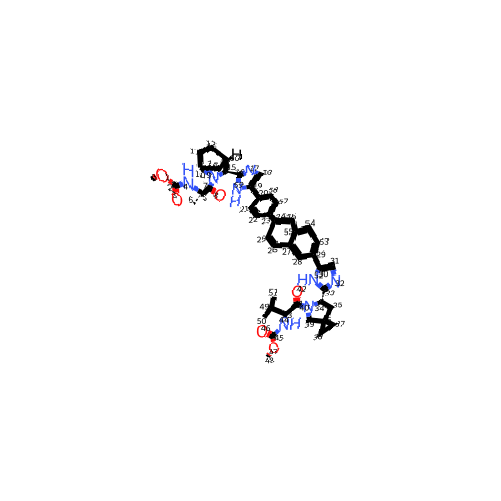 COC(=O)N[C@@H](C)C(=O)N1C2CC[C@@H](C2)[C@H]1c1ncc(-c2ccc(-c3ccc4cc(-c5cnc([C@@H]6CC7(CC7)CN6C(=O)[C@@H](NC(=O)OC)C(C)C)[nH]5)ccc4c3)cc2)[nH]1